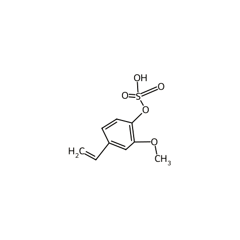 C=Cc1ccc(OS(=O)(=O)O)c(OC)c1